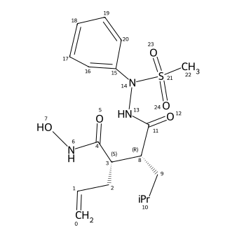 C=CC[C@H](C(=O)NO)[C@@H](CC(C)C)C(=O)NN(c1ccccc1)S(C)(=O)=O